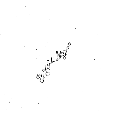 Nc1cc(C2CC3(COC3)C2)cnc1C(=O)NCCOCCNCC(=O)N1CCN(C(=O)c2cc(Cc3n[nH]c(=O)c4ccccc34)ccc2F)CC1